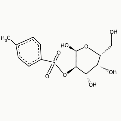 Cc1ccc(S(=O)(=O)O[C@@H]2[C@@H](O)[C@@H](O)[C@@H](CO)O[C@@H]2O)cc1